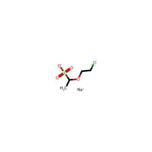 CC(OCCCl)S(=O)(=O)[O-].[Na+]